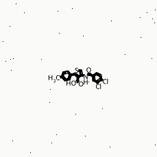 Cc1ccc(-c2scc(NC(=O)c3ccc(Cl)c(Cl)c3)c2C(=O)O)cc1